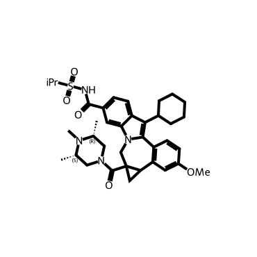 COc1ccc2c(c1)C1CC1(C(=O)N1C[C@@H](C)N(C)[C@@H](C)C1)Cn1c-2c(C2CCCCC2)c2ccc(C(=O)NS(=O)(=O)C(C)C)cc21